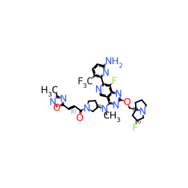 Cc1noc(/C=C/C(=O)N2CC[C@@H](N(C)c3nc(OC[C@@]45CCCN4C[C@H](F)C5)nc4c(F)c(-c5nc(N)ccc5C(F)(F)F)ncc34)C2)n1